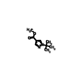 COC(=O)c1cnn(C(C)(C)C)c1